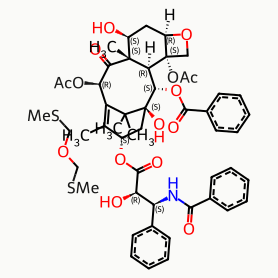 CC(=O)O[C@H]1C(=O)[C@@]2(C)[C@H]([C@H](OC(=O)c3ccccc3)[C@]3(O)C[C@H](OC(=O)[C@H](O)[C@@H](NC(=O)c4ccccc4)c4ccccc4)C(C)=C1C3(C)C)[C@]1(OC(C)=O)CO[C@@H]1C[C@@H]2O.CSCOCSC